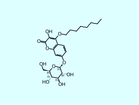 CCCCCCCCOc1c(O)c(=O)oc2cc(O[C@@H]3O[C@H](CO)[C@@H](O)[C@H](O)[C@H]3O)ccc12